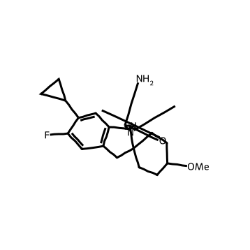 COC1CCC2(CC1)Cc1cc(F)c(C3CC3)cc1C21N=C(N)N(C)C1=O